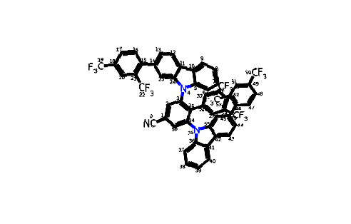 N#Cc1cc(-n2c3ccccc3c3ccc(-c4ccc(C(F)(F)F)cc4C(F)(F)F)cc32)c(-c2cc(C(F)(F)F)cc(C(F)(F)F)c2)c(-n2c3ccccc3c3ccc(-c4ccc(C(F)(F)F)cc4C(F)(F)F)cc32)c1